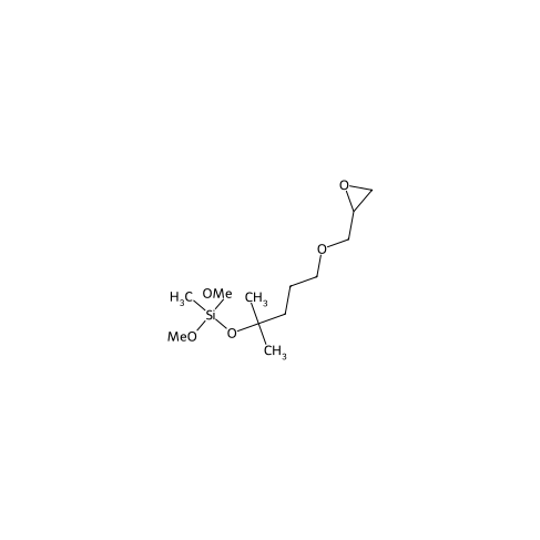 CO[Si](C)(OC)OC(C)(C)CCCOCC1CO1